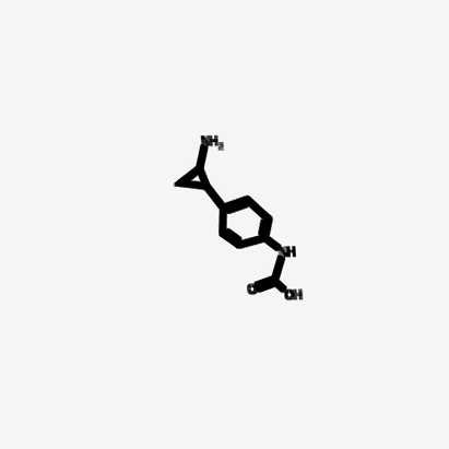 NC1CC1c1ccc(NC(=O)O)cc1